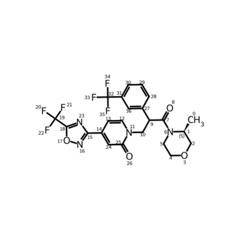 C[C@H]1COCCN1C(=O)C(Cn1ccc(-c2noc(C(F)(F)F)n2)cc1=O)c1cccc(C(F)(F)F)c1